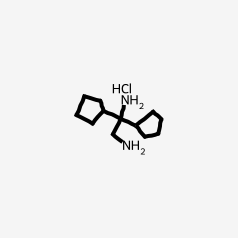 Cl.NCC(N)(C1CCCC1)C1CCCC1